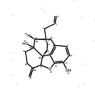 C=CCN1CC[C@@]23c4c5ccc(O)c4OC2C(=C)CCC3(O)[C@@H]1C5